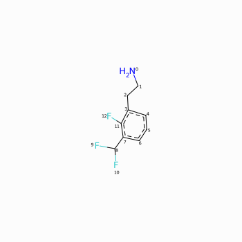 NCCc1cccc(C(F)F)c1F